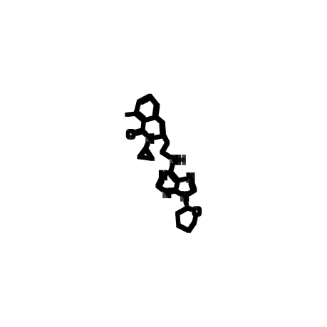 Cc1cccc2cc(CCNc3ncnc4c3ncn4[C@@H]3CCCCO3)n(C3CC3)c(=O)c12